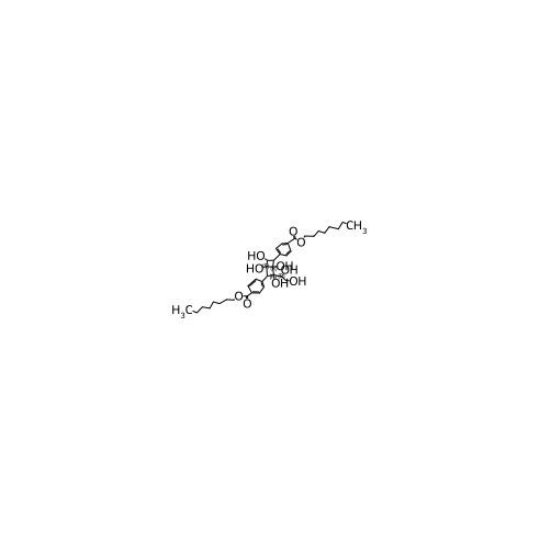 CCCCCCCCOC(=O)c1ccc(C2C(O)[C@@]3(O)C(c4ccc(C(=O)OCCCCCCCC)cc4)[C@@](O)([C@H](O)CO)[C@@]23O)cc1